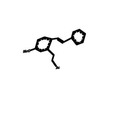 COc1ccc(C=Cc2ccccc2)c(CCC(C)=O)c1